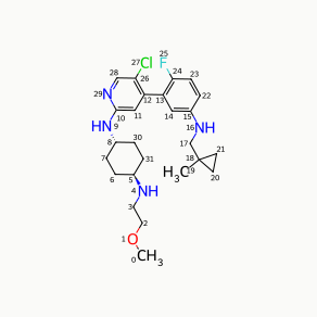 COCCN[C@H]1CC[C@H](Nc2cc(-c3cc(NCC4(C)CC4)ccc3F)c(Cl)cn2)CC1